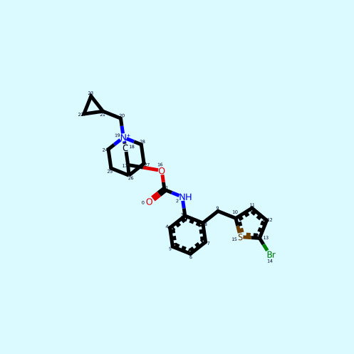 O=C(Nc1ccccc1Cc1ccc(Br)s1)OC1C[N+]2(CC3CC3)CCC1CC2